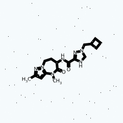 Cc1cc2n(n1)CCC(NC(=O)C1=NN(CC3CCC3)CN1)C(=O)N2C